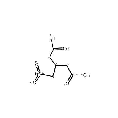 O=C(O)CC(CC(=O)O)C[SH](=O)=O